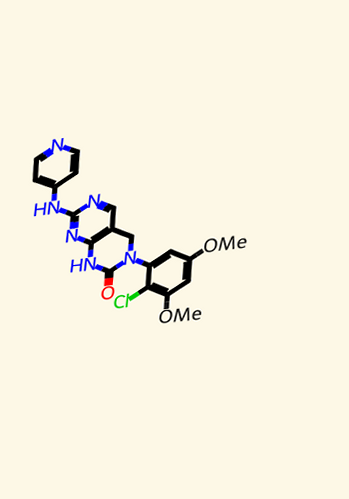 COc1cc(OC)c(Cl)c(N2Cc3cnc(Nc4ccncc4)nc3NC2=O)c1